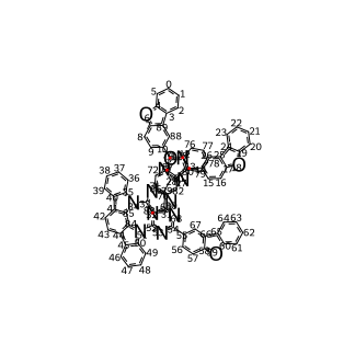 c1ccc2c(c1)oc1ccc(-c3nc(-c4ccc5oc6ccccc6c5c4)nc(-c4nccc(-n5c6ccccc6c6ccc7c8ccccc8n(-c8nc(-c9ccc%10oc%11ccccc%11c%10c9)nc(-c9ccc%10oc%11ccccc%11c%10c9)n8)c7c65)n4)n3)cc12